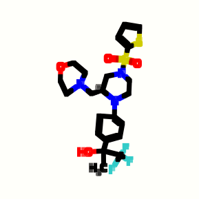 CC(O)(c1ccc(N2CCN(S(=O)(=O)c3cccs3)C[C@@H]2CN2CCOCC2)cc1)C(F)(F)F